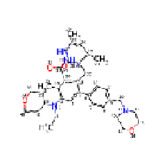 CCN(c1cc(-c2ccc(CN3CCOCC3)cc2)c(Cc2c(C)cc(C)[nH]c2=O)c(C(N)=O)c1C)C1CCOCC1